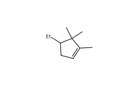 [CH2]CC1CC=C(C)C1(C)C